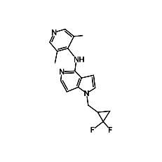 Cc1cncc(C)c1Nc1nccc2c1ccn2CC1CC1(F)F